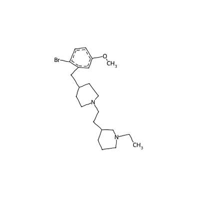 CCN1CCCC(CCN2CCC(Cc3cc(OC)ccc3Br)CC2)C1